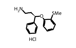 CSc1ccccc1O[C@H](CCN)c1ccccc1.Cl